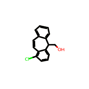 OCC1c2ccccc2C=Cc2c(Cl)cccc21